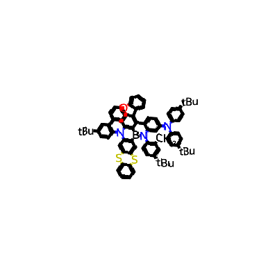 Cc1cc(C(C)(C)C)ccc1N1B2c3cc4c(cc3N(c3ccc(C(C)(C)C)cc3-c3ccccc3)c3cc5oc6ccccc6c5c(c32)-c2ccc(N(c3ccc(C(C)(C)C)cc3)c3ccc(C(C)(C)C)cc3)cc21)Sc1ccccc1S4